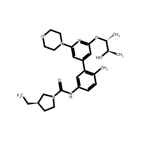 Cc1ccc(NC(=O)N2CC[C@@H](CC(F)(F)F)C2)cc1-c1cc(O[C@H](C)[C@@H](C)O)nc(N2CCOCC2)c1